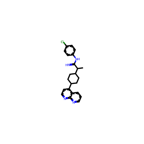 CC(C(=N)Nc1ccc(Cl)cc1)C1CCC(c2ccnc3ncccc23)CC1